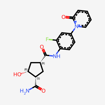 NC(=O)[C@H]1C[C@@H](C(=O)Nc2ccc(-n3ccccc3=O)cc2F)C[C@H]1O